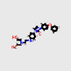 O=c1n(-c2ccc(Oc3ccccc3)cc2)ccn1C1CCC(NCCN(CCO)CCO)CC1